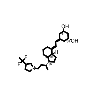 CC(CCN1CCC(C(C)(F)F)C1)[C@H]1CC[C@H]2C(=CC=C3C[C@@H](O)C[C@H](O)C3)CCC[C@]12C